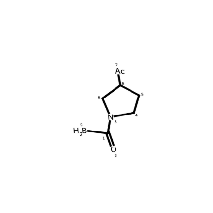 BC(=O)N1CCC(C(C)=O)C1